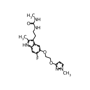 CNC(=O)NCCc1c(C)[nH]c2cc(F)c(OCCOc3ccn(C)n3)cc12